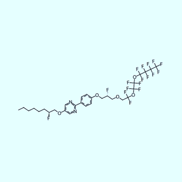 CCCCCC[C@H](F)COc1cnc(-c2ccc(OC[C@H](F)COCC(F)(F)OC(F)(F)C(F)(F)OC(F)(F)C(F)(F)C(F)(F)C(F)(F)F)cc2)nc1